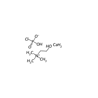 C[N+](C)(C)CCO.O=P([O-])(O)Cl.[CaH2]